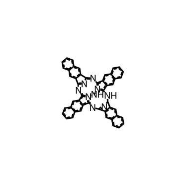 c1ccc2cc3c(cc2c1)C1=NC/3=N\c2c3cc4ccccc4cc3c3n2Nn2/c(c4cc5ccccc5cc4/c2=N/C2=NC(N3)c3cc4ccccc4cc32)=N\1